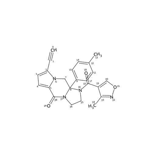 C#Cc1ccc2n1CC1(c3ccc(C)cc3)N(C(=O)c3conc3C)CCN1C2=O